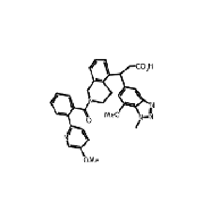 COc1ccc(-c2ccccc2C(=O)N2CCc3c(cccc3C(CC(=O)O)c3cc(OC)c4c(c3)nnn4C)C2)nc1